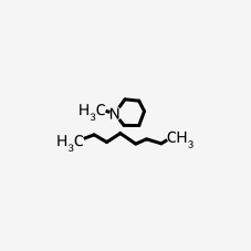 CCCCCCCC.CN1CCCCC1